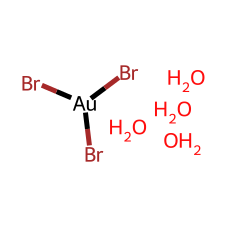 O.O.O.O.[Br][Au]([Br])[Br]